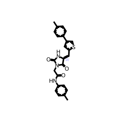 Cc1ccc(NC(=O)CN2C(=O)N/C(=C\c3cc(-c4ccc(C)cc4)cs3)C2=O)cc1